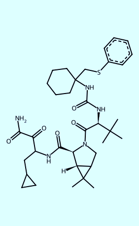 CC(C)(C)[C@H](NC(=O)NC1(CSc2ccccc2)CCCCC1)C(=O)N1CC2[C@@H]([C@H]1C(=O)NC(CC1CC1)C(=O)C(N)=O)C2(C)C